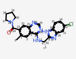 Cc1cc2c(N[C@@H](C)c3nc4cc(Cl)ccc4[nH]3)ncnc2cc1C(=O)N1CCCC1